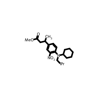 COC(=O)CC(C)c1ccc(N(CC(C)C)C2CCCCC2)c([N+](=O)[O-])c1